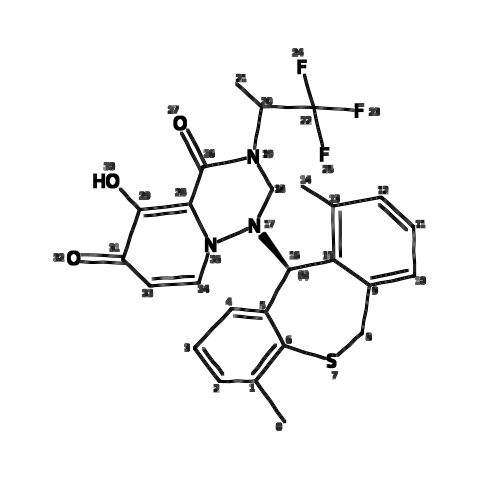 Cc1cccc2c1SCc1cccc(C)c1[C@@H]2N1CN(C(C)C(F)(F)F)C(=O)c2c(O)c(=O)ccn21